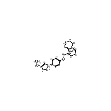 COc1cnn(-c2ccc(OCC34CCC(CC3)N3CCSN=C34)cc2)c1